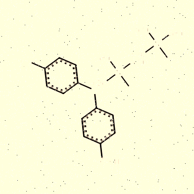 CCCC[N+](C)(CCCC)CCCC.CCCC[N+](C)(CCCC)CCCC.O=C(O)c1ccc(Sc2ccc(C(=O)O)cc2)cc1